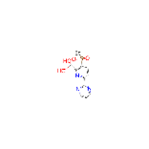 CCS(=O)(=O)c1ccc(-c2ncccn2)nc1C(O)O